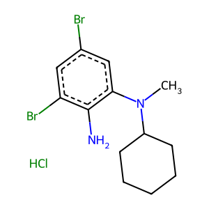 CN(c1cc(Br)cc(Br)c1N)C1CCCCC1.Cl